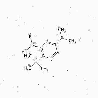 CC(C)c1ccc(C(C)(C)C)c(C(F)F)c1